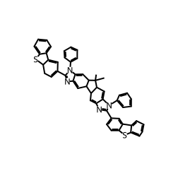 CC1(C)C2C=c3c(nc(C4=CCC5Sc6ccccc6C5=C4)n3-c3ccccc3)=CC2C2C=c3nc(-c4ccc5sc6ccccc6c5c4)n(-c4ccccc4)c3=CC21